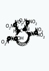 O=[N+]([O-])c1cccc(N=Nc2cc3c(O)c(c2)Cc2cc(N=Nc4cc([N+](=O)[O-])cc([N+](=O)[O-])c4)cc(c2O)Cc2cc(N=Nc4cc([N+](=O)[O-])cc([N+](=O)[O-])c4)cc(c2O)Cc2cc(N=Nc4cc([N+](=O)[O-])cc([N+](=O)[O-])c4)cc(c2O)CCCCCCCCCCC3)c1